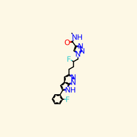 CNC(=O)c1cn(CC(F)CCc2cc3cc(-c4ccccc4F)[nH]c3nn2)nn1